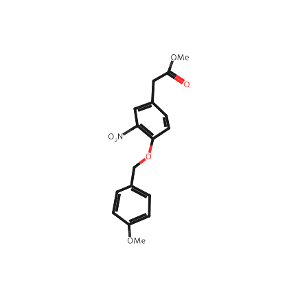 COC(=O)Cc1ccc(OCc2ccc(OC)cc2)c([N+](=O)[O-])c1